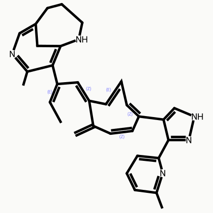 C=C1\C=C/C(c2c[nH]nc2-c2cccc(C)n2)=C/C=C/C1=C/C(=C\C)C1=C2CC(=CN=C1C)CCCN2